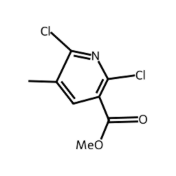 COC(=O)c1cc(C)c(Cl)nc1Cl